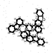 C1=CC2Oc3ccc(-c4nc(-c5cccc6c7ccccc7n(-c7ccccc7)c56)nc(-c5cccc6c7ccccc7n(-c7ccccc7)c56)n4)cc3C2C=C1